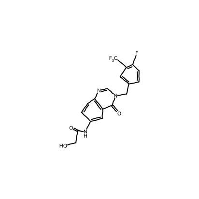 O=C(CO)Nc1ccc2ncn(Cc3ccc(F)c(C(F)(F)F)c3)c(=O)c2c1